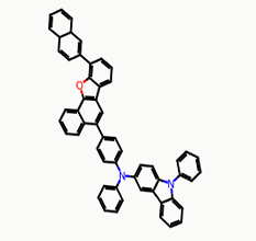 C1=CC2C=CC(c3cccc4c3oc3c5ccccc5c(-c5ccc(N(c6ccccc6)c6ccc7c(c6)c6ccccc6n7-c6ccccc6)cc5)cc43)=CC2C=C1